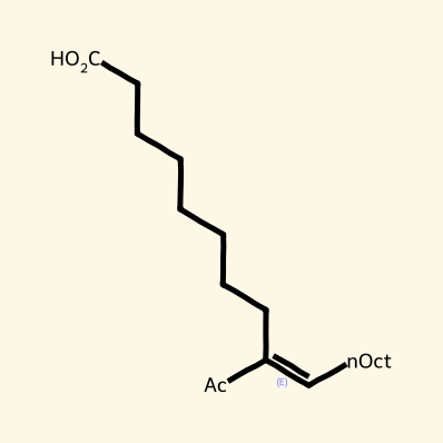 CCCCCCCC/C=C(\CCCCCCCC(=O)O)C(C)=O